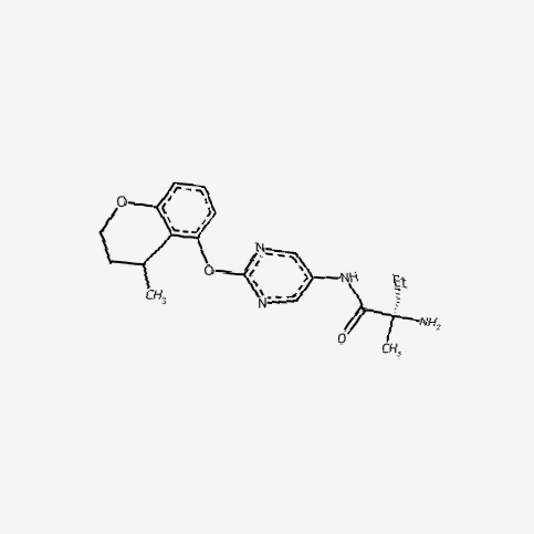 CC[C@@](C)(N)C(=O)Nc1cnc(Oc2cccc3c2C(C)CCO3)nc1